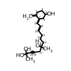 C=C1CCC(O)CC1=CC=CCCCC(C)(C)CC#CC(C)(C)O